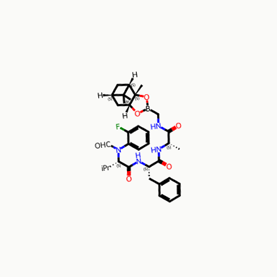 CC(C)[C@@H](C(=O)N[C@@H](Cc1ccccc1)C(=O)N[C@@H](C)C(=O)NCB1O[C@@H]2C[C@@H]3C[C@@H](C3(C)C)[C@]2(C)O1)N(C=O)c1ccccc1F